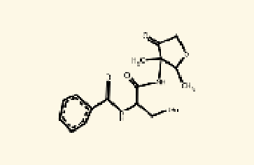 CC1OCC(=O)C1(C)NC(=O)C(CC(C)(C)C)NC(=O)c1ccccc1